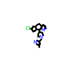 Cc1cncc(CN2CCC(=C3c4ncccc4CCC4C=C(Cl)C=CC34)CC2)c1